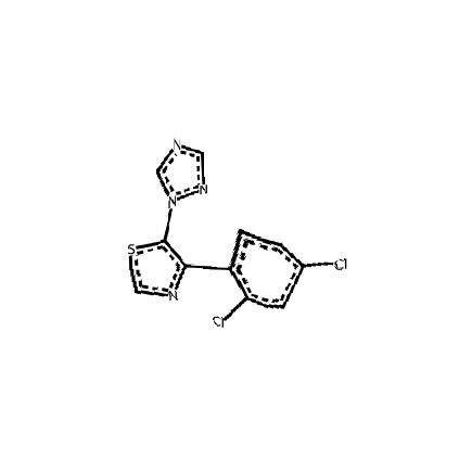 Clc1ccc(-c2ncsc2-n2cncn2)c(Cl)c1